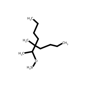 CCCCC(C)(CCCC)C(C)O[SiH3]